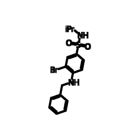 CC(C)NS(=O)(=O)c1ccc(NCc2ccccc2)c(Br)c1